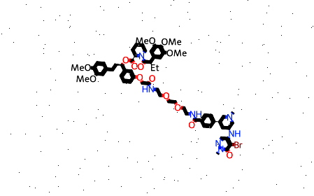 CC[C@H](C(=O)N1CCCC[C@H]1C(=O)O[C@H](CCc1ccc(OC)c(OC)c1)c1cccc(OCC(=O)NCCOCCOCCNC(=O)c2ccc([C@H]3C[C@@H](Nc4cnn(C)c(=O)c4Br)CN(C)C3)cc2)c1)c1cc(OC)c(OC)c(OC)c1